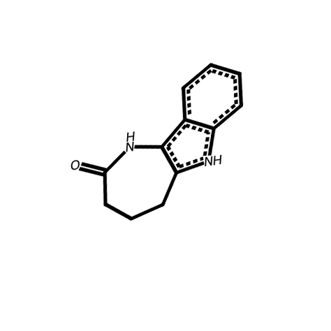 O=C1CCCc2[nH]c3ccccc3c2N1